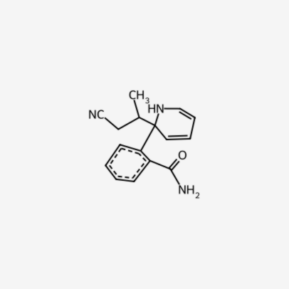 CC(CC#N)C1(c2ccccc2C(N)=O)C=CC=CN1